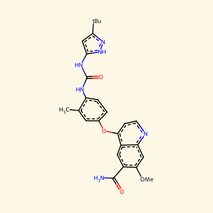 COc1cc2nccc(Oc3ccc(NC(=O)Nc4cc(C(C)(C)C)n[nH]4)c(C)c3)c2cc1C(N)=O